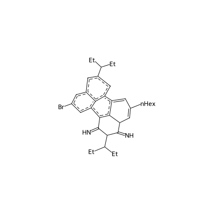 CCCCCCC1=CC2C(=N)C(C(CC)CC)C(=N)c3c2c(c2cc(C(CC)CC)cc4cc(Br)cc3c42)=C1